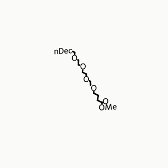 CCCCCCCCCCCOCCOCCOCCOCCCC(=O)OC